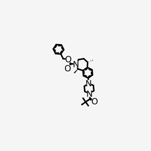 C[C@@H]1c2cc(N3CCN(C(=O)C(C)(C)C)CC3)ccc2[C@@H](C)CCN1C(=O)OCc1ccccc1